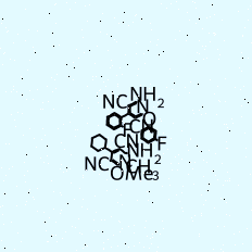 COC1=C(C#N)C(C2CCCCC2)=C(C#N)C(N)N1C.N#Cc1c(N)nc(Oc2cccc(F)c2)c(C#N)c1-c1ccccc1F